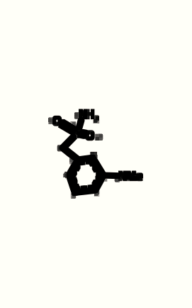 CNc1cccc(CS(N)(=O)=O)c1